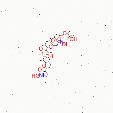 CCC(C(=O)NO)[C@H]1CC[C@H](C)C([C@@H](C)[C@H](O)[C@H](C)C(=O)[C@H](CC)[C@H]2O[C@]3(C=C/C(=N\O)[C@]4(CC[C@@](C)([C@H]5CC[C@](O)(CC)[C@H](C)O5)O4)O3)[C@H](C)C[C@@H]2C)O1